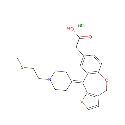 CSCCN1CCC(=C2c3cc(CC(=O)O)ccc3OCc3ccsc32)CC1.Cl